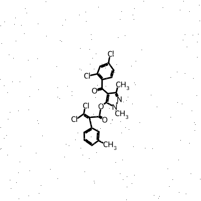 Cc1cccc(C(C(=O)Oc2c(C(=O)c3ccc(Cl)cc3Cl)c(C)nn2C)=C(Cl)Cl)c1